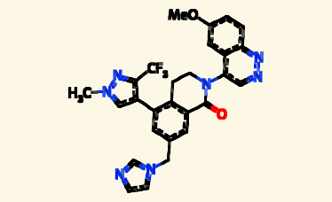 COc1ccc2nncc(N3CCc4c(cc(Cn5ccnc5)cc4-c4cn(C)nc4C(F)(F)F)C3=O)c2c1